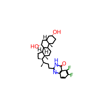 C[C@H](CCc1nc2ccc(F)c(F)c2c(=O)[nH]1)[C@H]1CC[C@H]2[C@H]3C(CC[C@]12C)[C@@]1(C)CC[C@@H](O)C[C@H]1C[C@H]3O